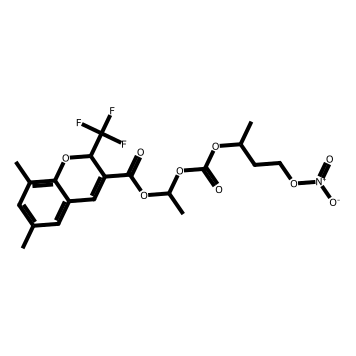 Cc1cc(C)c2c(c1)C=C(C(=O)OC(C)OC(=O)OC(C)CCO[N+](=O)[O-])C(C(F)(F)F)O2